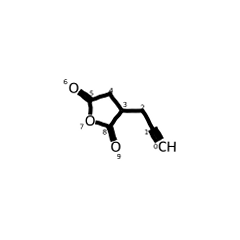 C#CCC1CC(=O)OC1=O